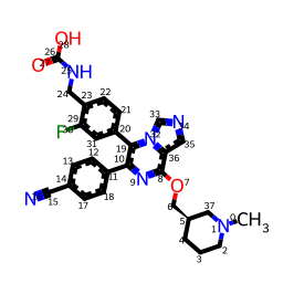 CN1CCC[C@@H](COc2nc(-c3ccc(C#N)cc3)c(-c3ccc(CNC(=O)O)c(F)c3)n3cncc23)C1